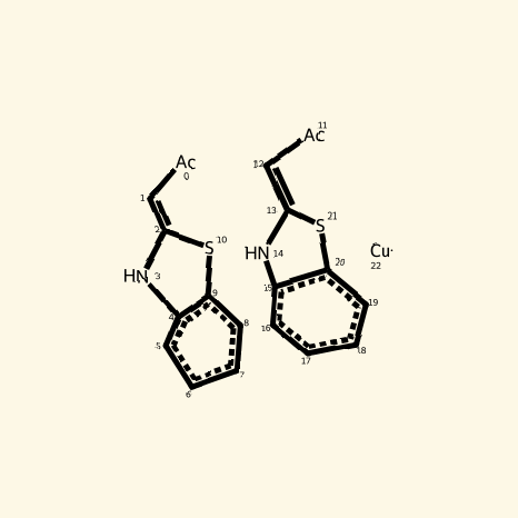 CC(=O)C=C1Nc2ccccc2S1.CC(=O)C=C1Nc2ccccc2S1.[Cu]